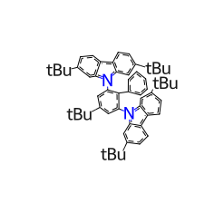 CC(C)(C)c1cc(-n2c3cc(C(C)(C)C)ccc3c3ccc(C(C)(C)C)cc32)c(-c2ccccc2)c(-n2c3cc(C(C)(C)C)ccc3c3ccc(C(C)(C)C)cc32)c1